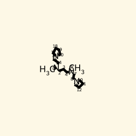 CN(CCCN(C)CCN1CCCC1)CCN1CCCC1